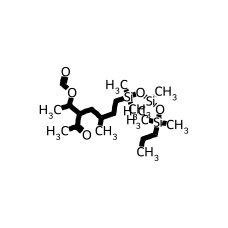 CCC[Si](C)(C)O[Si](C)(C)O[Si](C)(C)CCC(C)CC(C(C)=O)C(C)OC=O